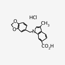 Cc1cn(Cc2ccc3c(c2)OCO3)c2cc(C(=O)O)ccc12.Cl